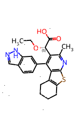 CCO[C@H](C(=O)O)c1c(C)nc2sc3c(c2c1-c1ccc2cn[nH]c2c1)CCCC3